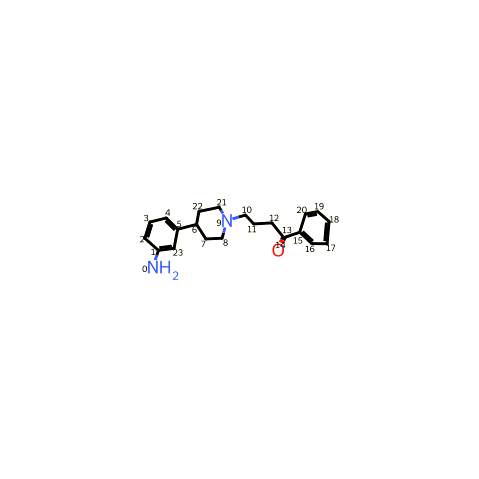 Nc1cccc(C2CCN(CCCC(=O)c3ccccc3)CC2)c1